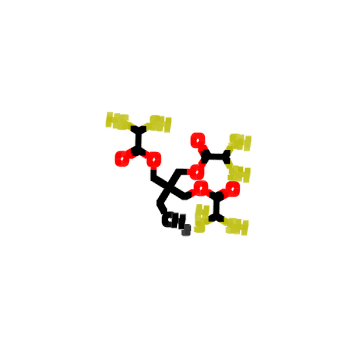 CCC(COC(=O)C(S)S)(COC(=O)C(S)S)COC(=O)C(S)S